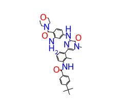 Cc1c(NC(=O)c2ccc(C(C)(C)C)cc2)cccc1-c1cn(C)c(=O)c(Nc2ccc(C(=O)N3CCOCC3)c(N)c2)n1